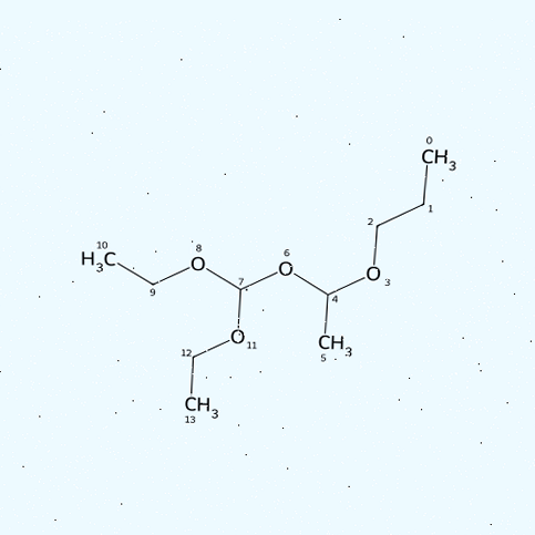 CCCOC(C)O[C](OCC)OCC